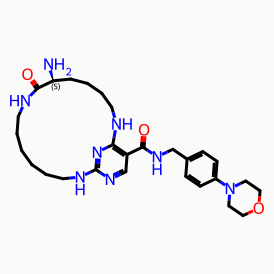 N[C@H]1CCCCNc2nc(ncc2C(=O)NCc2ccc(N3CCOCC3)cc2)NCCCCCCNC1=O